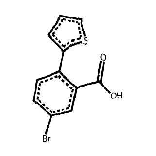 O=C(O)c1cc(Br)ccc1-c1cccs1